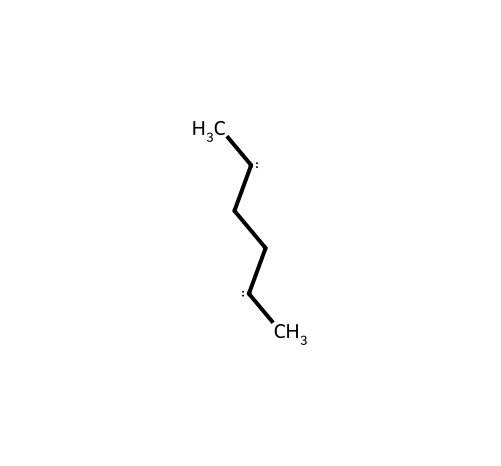 C[C]CC[C]C